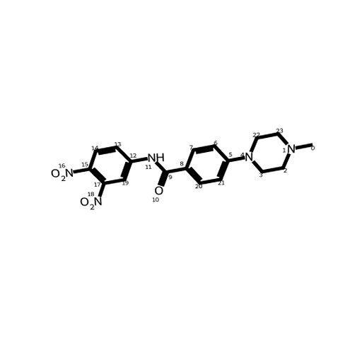 CN1CCN(c2ccc(C(=O)Nc3ccc([N+](=O)[O-])c([N+](=O)[O-])c3)cc2)CC1